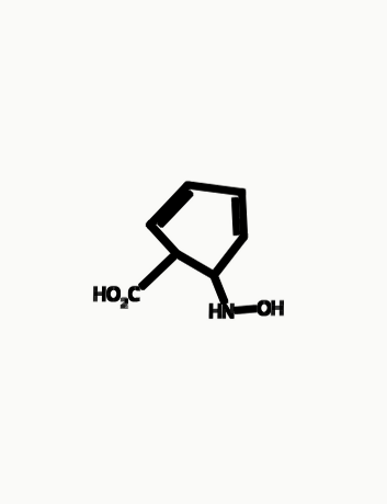 O=C(O)C1C=CC=CC1NO